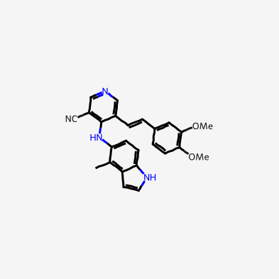 COc1ccc(C=Cc2cncc(C#N)c2Nc2ccc3[nH]ccc3c2C)cc1OC